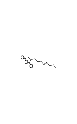 CCCC=CC=CCC1CC(=O)OC1=O